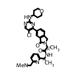 CNCc1cccc([C@@H](C)NC(=O)[C@@H](C)N2Cc3ccc(-c4nc(NC5CCOCC5)ncc4Cl)cc3C2=O)n1